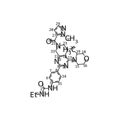 CCNC(=O)Nc1ccc(-c2nc3c(c(N4CCOCC4C)n2)CCN(C(=O)c2ccnn2C)C3)cc1